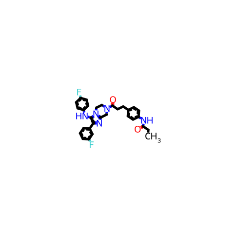 CCC(=O)Nc1ccc(CCC(=O)N2CCn3c(nc(-c4cccc(F)c4)c3Nc3ccc(F)cc3)C2)cc1